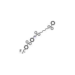 O=C(/C=C/c1ccc(OC(=O)c2ccc(C(F)(F)F)cc2)cc1)OCCCCCCOC(=O)c1ccccc1